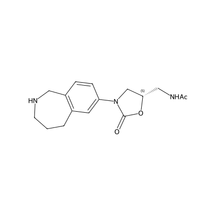 CC(=O)NC[C@H]1CN(c2ccc3c(c2)CCCNC3)C(=O)O1